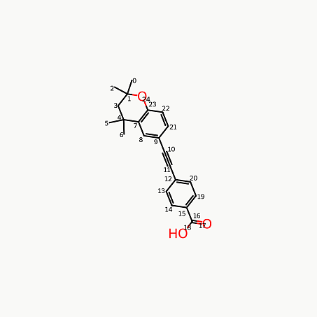 CC1(C)CC(C)(C)c2cc(C#Cc3ccc(C(=O)O)cc3)ccc2O1